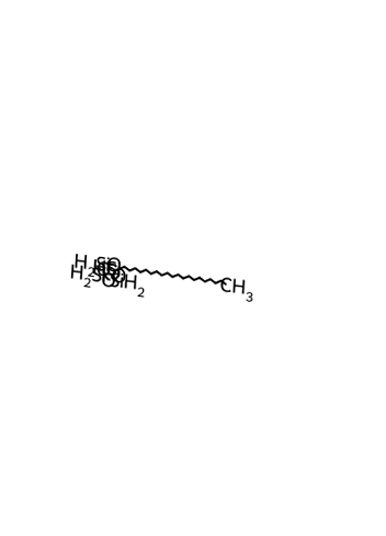 CCCCCCCCCCCCCCCCCCCC[SiH]1O[SiH2]O[SiH2]O[SiH2]O1